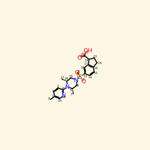 Cc1ccc(N2[C@H](C)CN(S(=O)(=O)c3ccc4c(c3)C(C(=O)O)CC4)C[C@@H]2C)nc1